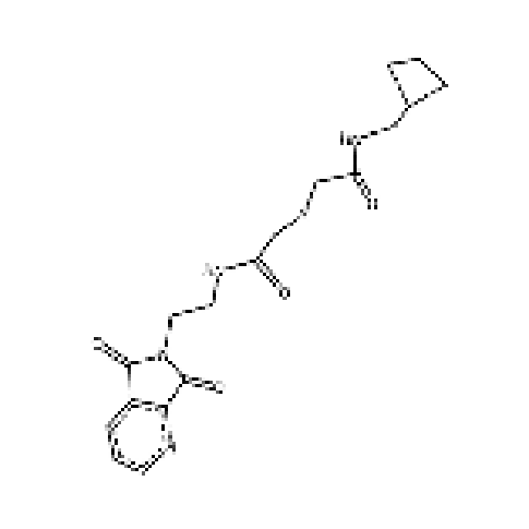 O=C(CSCC(=O)NCC1CCC1)NCCN1C(=O)c2cccnc2C1=O